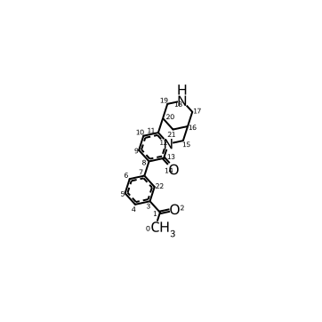 CC(=O)c1cccc(-c2ccc3n(c2=O)CC2CNCC3C2)c1